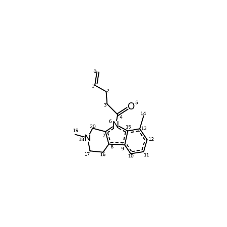 C=CCCC(=O)n1c2c(c3cccc(C)c31)CCN(C)C2